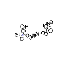 CC/C(=C(\c1ccc(O)cc1)c1ccc(OCCN2CCN(CCOc3cccc4c3CN(C3CCC(=O)NC3=O)C4=O)CC2)cc1)c1ccccc1